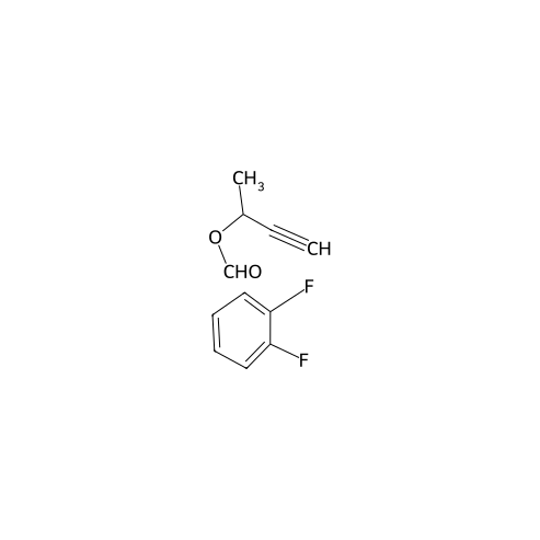 C#CC(C)OC=O.Fc1ccccc1F